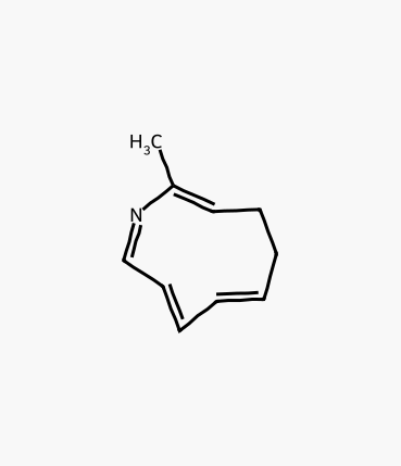 CC1=C\CC/C=C/C=C/C=N\1